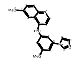 COc1cc(Nc2ccnc3ccc(OC)cc23)cc(-n2ccnc2)c1